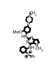 COc1cc(N2CCN(C)CC2)ccc1Nc1nc(Nc2ccccc2S(=O)(=O)C(C)C)c2c(ccn2C)n1